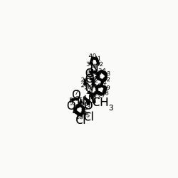 CN(C(=O)CN1C(=O)COc2cc(Cl)c(Cl)cc21)C(CN1CCOCC1)c1cccc(-c2cccc(C(=O)N3CCCC3)c2)c1